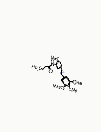 COc1ccc(/C=C/c2cc(OC)c(OC)c(OC)c2)cc1NC(=O)CCC(=O)O